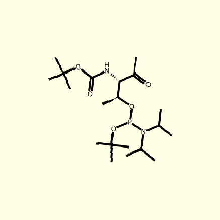 CC(=O)[C@@H](NC(=O)OC(C)(C)C)[C@H](C)OP(OC(C)(C)C)N(C(C)C)C(C)C